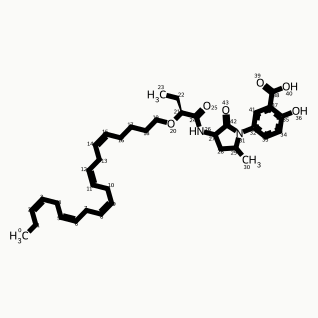 CC/C=C\C/C=C\C/C=C\C/C=C\C/C=C\CCCCO[C@@H](CC)C(=O)NC1CC(C)N(c2ccc(O)c(C(=O)O)c2)C1=O